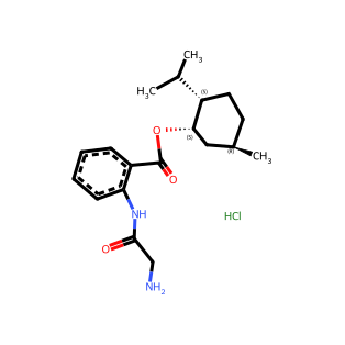 CC(C)[C@@H]1CC[C@@H](C)C[C@@H]1OC(=O)c1ccccc1NC(=O)CN.Cl